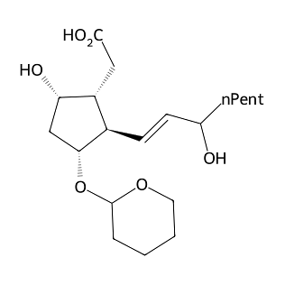 CCCCCC(O)C=C[C@@H]1[C@@H](CC(=O)O)[C@@H](O)C[C@H]1OC1CCCCO1